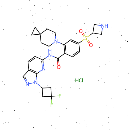 Cl.O=C(Nc1ccc2cnn(C3CC(F)(F)C3)c2n1)c1ccc(S(=O)(=O)C2CNC2)cc1N1CCC2(CC1)CC2